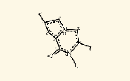 Cc1cc2c(=O)n(I)c(C)cn2c1